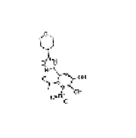 CC(=O)c1c(-c2noc(C3CCOCC3)n2)cc(O)c(O)c1[N+](=O)[O-]